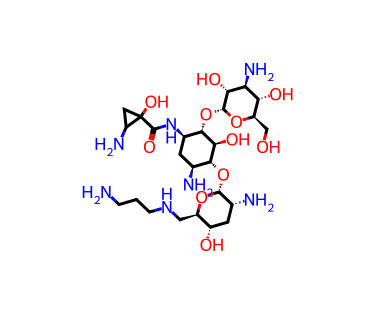 NCCCNC[C@H]1O[C@H](O[C@H]2[C@H](O)[C@@H](O[C@H]3O[C@H](CO)[C@@H](O)[C@H](N)[C@H]3O)[C@H](NC(=O)C3(O)CC3N)C[C@@H]2N)[C@H](N)C[C@@H]1O